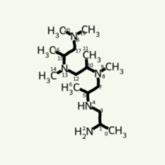 CC(N)CNC(C)CN(C)C(C)CN(C)C(C)CN(C)C